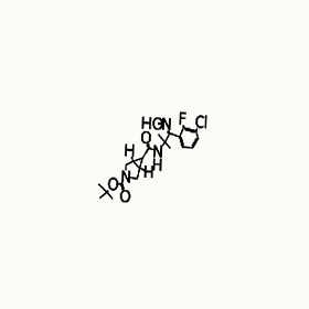 CC(C)(C)OC(=O)N1C[C@@H]2[C@H](C1)[C@H]2C(=O)NC(C)(C)/C(=N\O)c1cccc(Cl)c1F